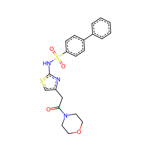 O=C(Cc1csc(NS(=O)(=O)c2ccc(-c3ccccc3)cc2)n1)N1CCOCC1